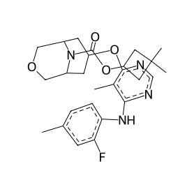 Cc1ccc(Nc2ncnc(OC3CC4COCC(C3)N4C(=O)OC3CC(C)(C)C3)c2C)c(F)c1